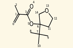 C=C(C)C(=O)OC1(C(C)(C)C)CCOC1